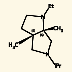 CCN1CC[C@@]2(C)CN(C(C)C)C[C@@]12C